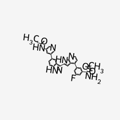 CCC(=O)Nc1cncc(-c2ccc3[nH]nc(-c4cc5c(-c6cc(F)cc(C(N)S(C)(=O)=O)c6)ccnc5[nH]4)c3c2)c1